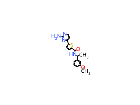 COc1cccc(C(C)NC(=O)c2ccc(-c3ccnc(N)n3)s2)c1